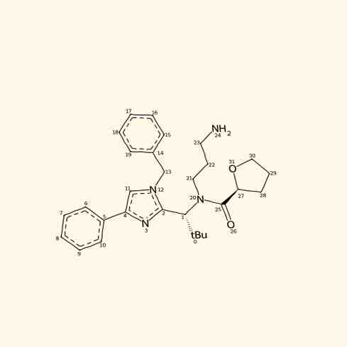 CC(C)(C)[C@H](c1nc(-c2ccccc2)cn1Cc1ccccc1)N(CCCN)C(=O)[C@@H]1CCCO1